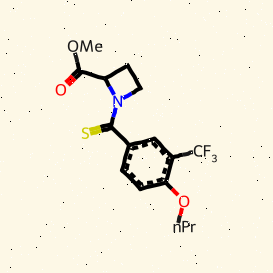 CCCOc1ccc(C(=S)N2CCC2C(=O)OC)cc1C(F)(F)F